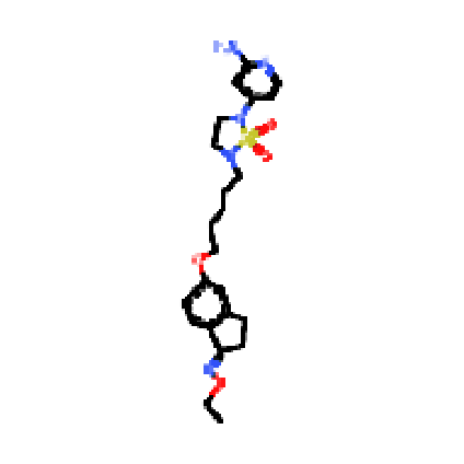 CCO/N=C1\CCc2cc(OCCCCCN3CCN(c4ccnc(N)c4)S3(=O)=O)ccc21